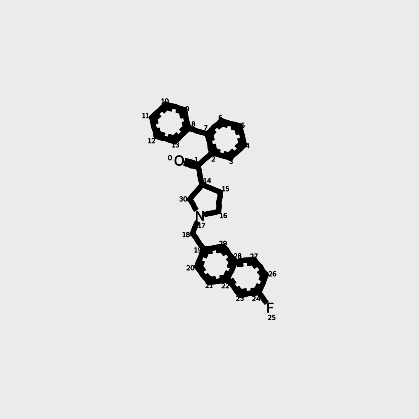 O=C(c1ccccc1-c1ccccc1)C1CCN(Cc2ccc3cc(F)ccc3c2)C1